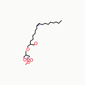 CCCCCCCC/C=C\CCCCCCC(C=O)COCC1COP(=O)(OC)C1